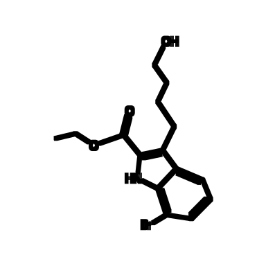 CCOC(=O)c1[nH]c2c(Br)cccc2c1CCCCO